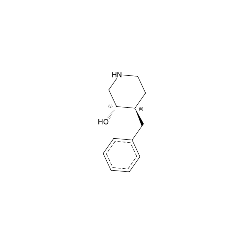 O[C@@H]1CNCC[C@H]1Cc1ccccc1